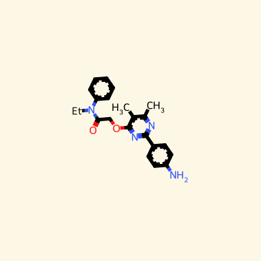 CCN(C(=O)COc1nc(-c2ccc(N)cc2)nc(C)c1C)c1ccccc1